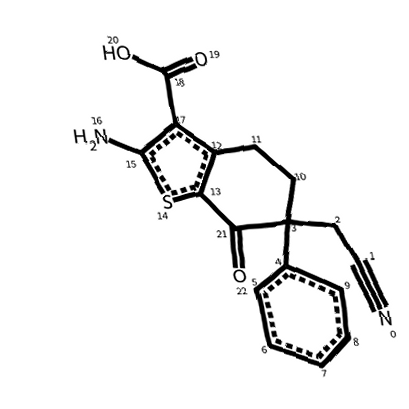 N#CCC1(c2ccccc2)CCc2c(sc(N)c2C(=O)O)C1=O